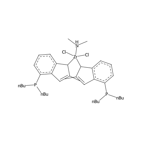 CCCCP(CCCC)c1cccc2c1C=C(C)[CH]2[Zr]([Cl])([Cl])([CH]1C(C)=Cc2c1cccc2P(CCCC)CCCC)[SiH](C)C